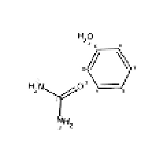 NC(N)=O.O.c1ccccc1